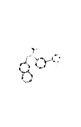 CCCCC(=O)N(Cc1ccc2ccccc2c1)c1cccc(-c2nnn[nH]2)c1